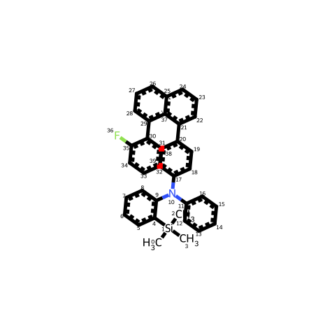 C[Si](C)(C)c1ccccc1N(c1ccccc1)c1ccc(-c2cccc3cccc(-c4ccccc4F)c23)cc1